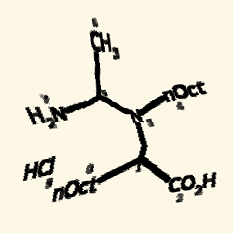 CCCCCCCCC(C(=O)O)N(CCCCCCCC)C(C)N.Cl